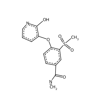 C=NC(=O)c1ccc(Oc2cccnc2O)c(S(C)(=O)=O)c1